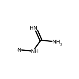 [N]NC(=N)N